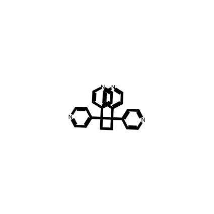 c1cc(C2(c3ccncc3)CCC2(c2ccncc2)c2ccncc2)ccn1